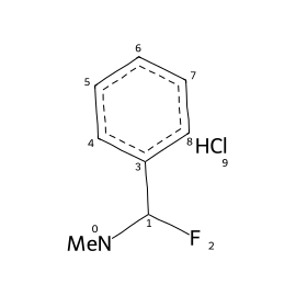 CNC(F)c1ccccc1.Cl